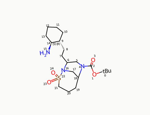 CC(C)(C)OC(=O)N1CC(CC[C@H]2CCCC[C@@H]2N)N2CC1CCCS2(=O)=O